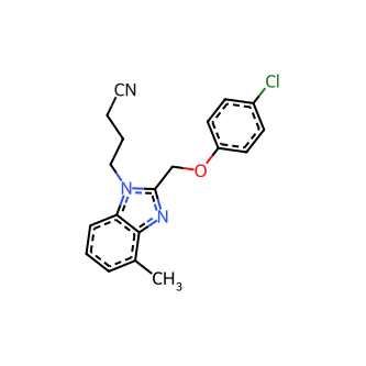 Cc1cccc2c1nc(COc1ccc(Cl)cc1)n2CCCC#N